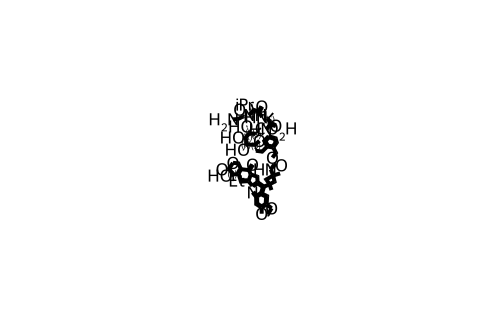 CC[C@@]1(O)C(=O)OCC2=C1C=C1c3nc4cc5c(cc4c(C4(C)CC(C)(NC(=O)OCc6ccc(NC(=O)[C@H](C)NC(=O)[C@@H](NC(=O)CN)C(C)C)cc6CC[C@@H]6O[C@H](C(=O)O)[C@@H](O)[C@H](O)[C@H]6O)C4)c3CC1C2=O)OCO5